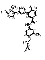 Cc1ccc(C(=O)Nc2ccc(CNC3CC3)c(C(F)(F)F)c2)cc1-n1cc(C2C=NN(C)C2C)nn1